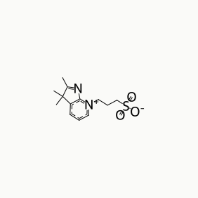 CC1=Nc2c(ccc[n+]2CCCS(=O)(=O)[O-])C1(C)C